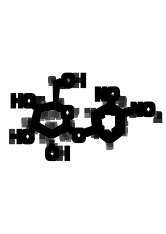 O=[N+]([O-])c1ccc(O[C@@H]2O[C@H](CO)[C@H](O)[C@H](O)[C@H]2O)cc1[N+](=O)[O-]